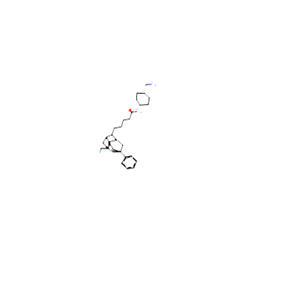 NC[C@H]1CC[C@H](NC(=O)CCCCC2C3CC4(CCl)CC2CC(c2ccccc2)(C3)C4)CC1